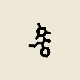 Cc1cc(C)c(C(=O)C(CP=O)c2ccccc2)c(C)c1